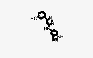 Oc1cccc(-c2cc(Nc3ccc4[nH]ncc4c3)ncn2)c1